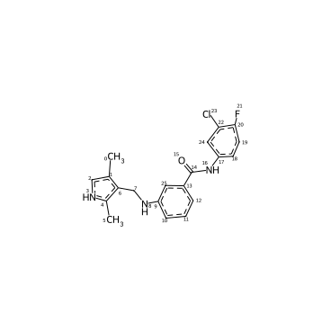 Cc1c[nH]c(C)c1CNc1cccc(C(=O)Nc2ccc(F)c(Cl)c2)c1